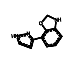 c1cc2c(c(-c3cc[nH]n3)c1)OCN2